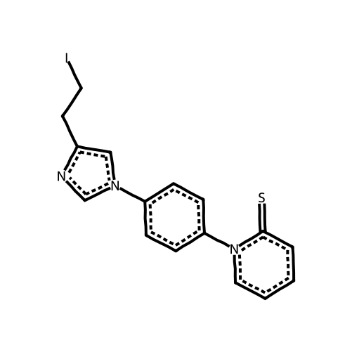 S=c1ccccn1-c1ccc(-n2cnc(CCI)c2)cc1